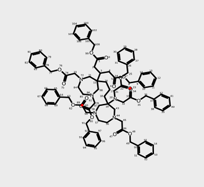 O=C(CC(CC(=O)OCc1ccccc1)C1(CCCC2(N(CC(=O)OCc3ccccc3)CC(=O)OCc3ccccc3)CN(CC(=O)OCc3ccccc3)CCN(CC(=O)OCc3ccccc3)C2)CN(CC(=O)OCc2ccccc2)CCN(CC(=O)OCc2ccccc2)C1)OCc1ccccc1